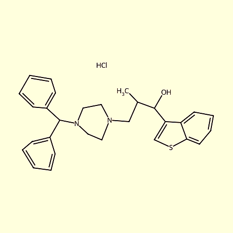 CC(CN1CCN(C(c2ccccc2)c2ccccc2)CC1)C(O)c1csc2ccccc12.Cl